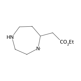 CCOC(=O)CC1CCNCC[N]1